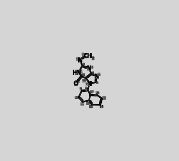 C=Nc1nc2ncn(-c3cccc4ccccc34)c2c(=O)[nH]1